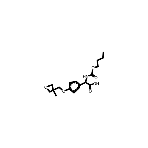 CCCCOC(=O)NC(C(=O)O)c1ccc(OCC2(C)COC2)cc1